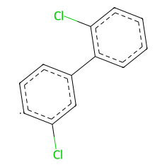 Clc1[c]ccc(-c2ccccc2Cl)c1